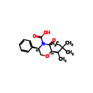 CC([C@H]1OC[C@@H](c2ccccc2)N(C(=O)O)C1=O)C(C)(C)C